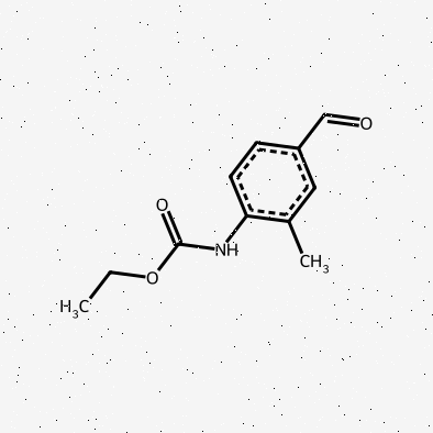 CCOC(=O)Nc1ccc(C=O)cc1C